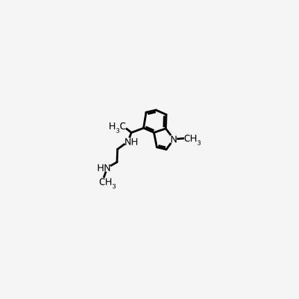 CNCCNC(C)c1cccc2c1ccn2C